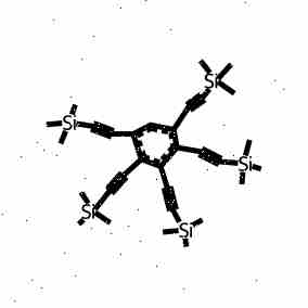 C[Si](C)(C)C#Cc1cc(C#C[Si](C)(C)C)c(C#C[Si](C)(C)C)c(C#C[Si](C)(C)C)c1C#C[Si](C)(C)C